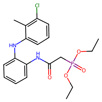 CCOP(=O)(CC(=O)Nc1ccccc1Nc1cccc(Cl)c1C)OCC